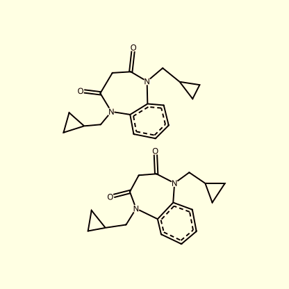 O=C1CC(=O)N(CC2CC2)c2ccccc2N1CC1CC1.O=C1CC(=O)N(CC2CC2)c2ccccc2N1CC1CC1